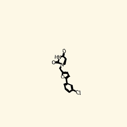 O=c1ccn(Cc2ccc(-c3cccc(Cl)c3)o2)c(=O)[nH]1